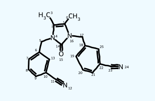 Cc1c(C)n(Cc2cccc(C#N)c2)c(=O)n1Cc1cccc(C#N)c1